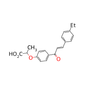 CCc1ccc(C=CC(=O)c2ccc(OC(C)C(=O)O)cc2)cc1